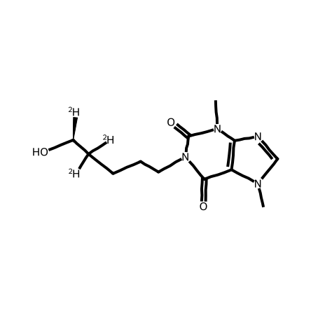 [2H][C@H](O)C([2H])([2H])CCCn1c(=O)c2c(ncn2C)n(C)c1=O